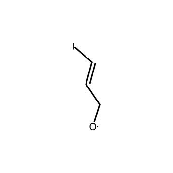 [O]CC=CI